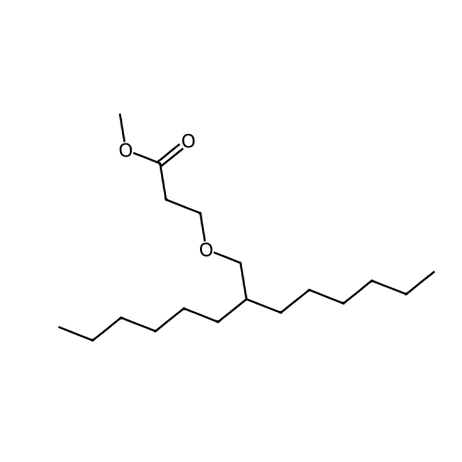 CCCCCCC(CCCCCC)COCCC(=O)OC